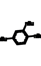 [CH2]CCCc1ccc(CCCC)cc1CCCC